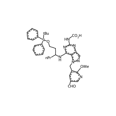 CCCC(CCO[Si](c1ccccc1)(c1ccccc1)C(C)(C)C)Nc1nc(NC(=O)O)nc2cnn(Cc3cc(C=O)cnc3OC)c12